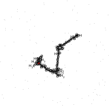 CCCC1O[C@@H]2C[C@H]3[C@@H]4CCC5=CC(=O)C=C[C@]5(C)[C@H]4[C@@H](O)C[C@]3(C)[C@]2(C(=O)COCNC(=O)CNC(=O)CNC(=O)OCc2ccc(NC(=O)[C@H](CCCNC(N)=O)NC(=O)[C@@H](NC(=O)CCOCCOCCOCCOCCNC(=O)CCC(=O)N3Cc4ccccc4-c4c(nnn4CCOCCOCCOCCOCCC(=O)NCCS(=O)(=O)O)-c4ccccc43)C(C)C)cc2)O1